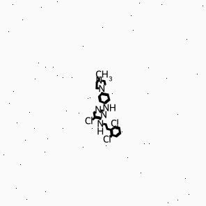 CN1CCN(c2ccc(Nc3ncc(Cl)c(NCCc4c(Cl)cccc4Cl)n3)cc2)CC1